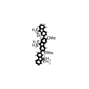 COc1cc2c(cc1-c1ccc3c(c1)C(C)(C)c1ccccc1-3)C(C)(C)c1cc(-c3ccc4c(c3)C(C)(C)c3ccccc3-4)c(OC)cc1-2